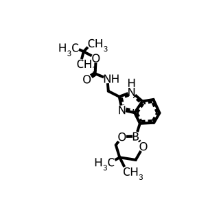 CC1(C)COB(c2cccc3[nH]c(CNC(=O)OC(C)(C)C)nc23)OC1